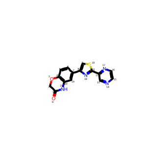 O=C1COc2ccc(-c3csc(-c4cnccn4)n3)cc2N1